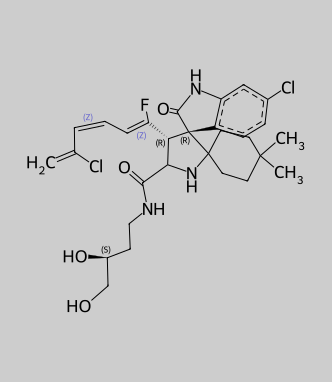 C=C(Cl)/C=C\C=C(/F)[C@H]1C(C(=O)NCC[C@H](O)CO)NC2(CCC(C)(C)CC2)[C@@]12C(=O)Nc1cc(Cl)ccc12